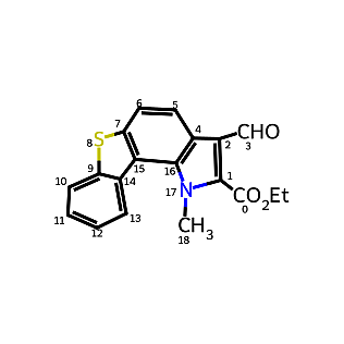 CCOC(=O)c1c(C=O)c2ccc3sc4ccccc4c3c2n1C